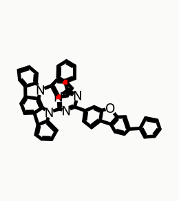 c1ccc(-c2ccc3c(c2)oc2cc(-c4nc(-c5ccccc5)nc(-n5c6ccccc6c6ccc7c8ccccc8n(-c8ccccc8)c7c65)n4)ccc23)cc1